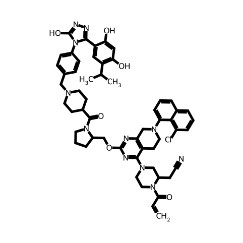 C=CC(=O)N1CCN(c2nc(OCC3CCCN3C(=O)C3CCN(Cc4ccc(-n5c(O)nnc5-c5cc(C(C)C)c(O)cc5O)cc4)CC3)nc3c2CCN(c2cccc4cccc(Cl)c24)C3)CC1CC#N